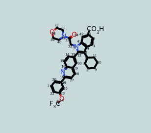 O=C(O)c1ccc2c(C3CCCCC3)c(-c3ccc4nc(-c5cccc(OC(F)(F)F)c5)ccc4c3)n(CC(=O)N3CCOCC3)c2c1